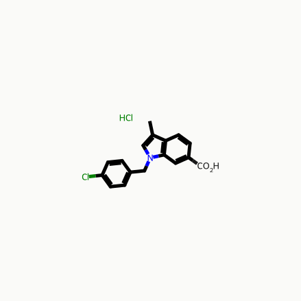 Cc1cn(Cc2ccc(Cl)cc2)c2cc(C(=O)O)ccc12.Cl